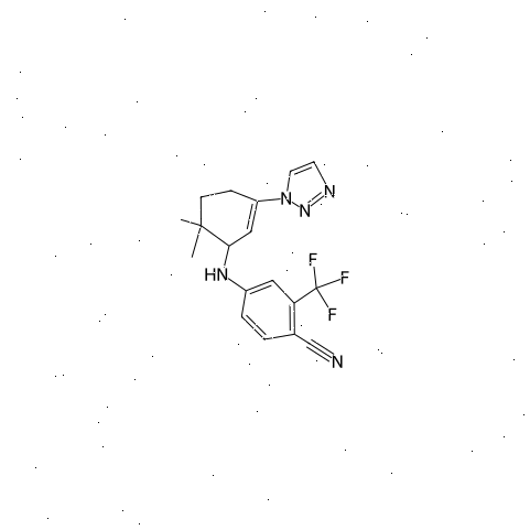 CC1(C)CCC(n2ccnn2)=CC1Nc1ccc(C#N)c(C(F)(F)F)c1